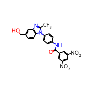 O=C(Nc1ccc(-n2c(C(F)(F)F)nc3cc(CO)ccc32)cc1)c1cc([N+](=O)[O-])cc([N+](=O)[O-])c1